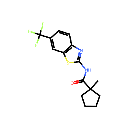 CC1(C(=O)Nc2nc3ccc(C(F)(F)F)cc3s2)CCCC1